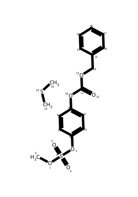 COS(=O)(=O)Oc1ccc(OC(=O)OCc2ccccc2)cc1.CSC